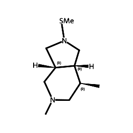 CSN1C[C@H]2CN(C)C[C@H](C)[C@H]2C1